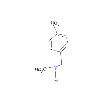 CCN(Cc1ccc([N+](=O)[O-])cc1)C(=O)O